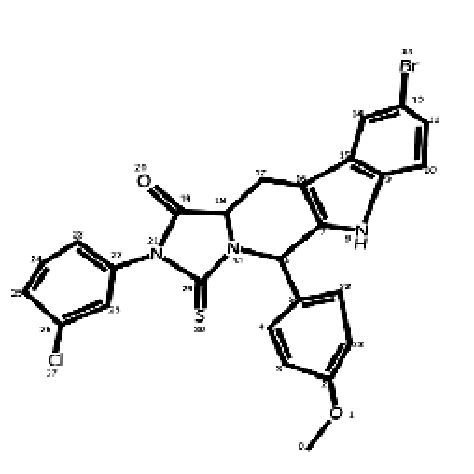 COc1ccc(C2c3[nH]c4ccc(Br)cc4c3CC3C(=O)N(c4cccc(Cl)c4)C(=S)N32)cc1